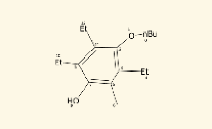 CCCCOc1c(CC)c(C)c(O)c(CC)c1CC